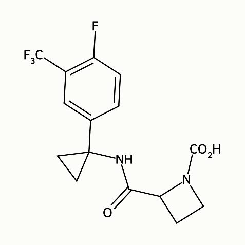 O=C(NC1(c2ccc(F)c(C(F)(F)F)c2)CC1)C1CCN1C(=O)O